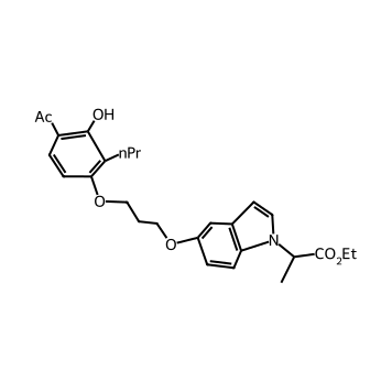 CCCc1c(OCCCOc2ccc3c(ccn3C(C)C(=O)OCC)c2)ccc(C(C)=O)c1O